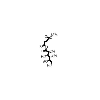 COC(=O)CCC(=O)OC(=O)[C@H](O)[C@@H](O)[C@H](O)[C@H](O)CO